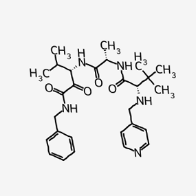 CC(C)[C@H](NC(=O)[C@H](C)NC(=O)[C@@H](NCc1ccncc1)C(C)(C)C)C(=O)C(=O)NCc1ccccc1